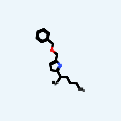 CCCCC(C)C1=NC(COCc2ccccc2)=CC1